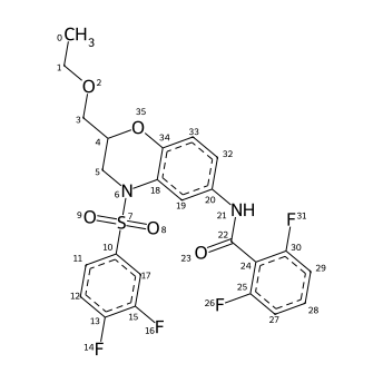 CCOCC1CN(S(=O)(=O)c2ccc(F)c(F)c2)c2cc(NC(=O)c3c(F)cccc3F)ccc2O1